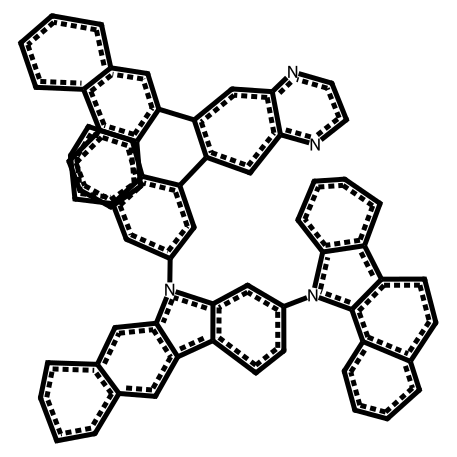 c1ccc2cc3c(cc2c1)c1ccc(-n2c4ccccc4c4ccc5ccccc5c42)cc1n3-c1cc(-c2cc3nccnc3cc2-c2cc3ccccc3c3ccccc23)c2ccccc2c1